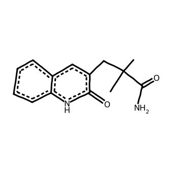 CC(C)(Cc1cc2ccccc2[nH]c1=O)C(N)=O